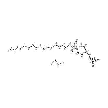 CCCC.CCCCCCCCCCCCCCCCCCS(=O)(=O)c1ccc(CO[PH](=O)O)cc1